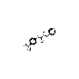 O=C(NCc1ccncc1)Nc1ccc([S+]([O-])Cl)cc1